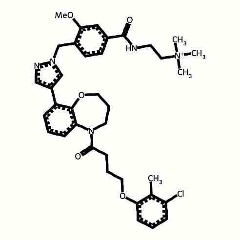 COc1cc(C(=O)NCC[N+](C)(C)C)ccc1Cn1cc(-c2cccc3c2OCCCN3C(=O)CCCOc2cccc(Cl)c2C)cn1